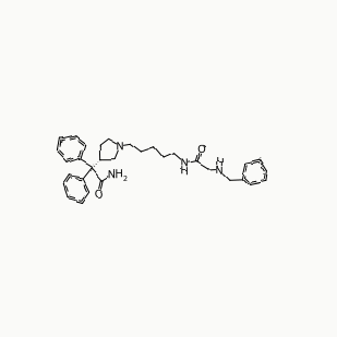 NC(=O)C(c1ccccc1)(c1ccccc1)[C@@H]1CCN(CCCCCNC(=O)CNCc2ccccc2)C1